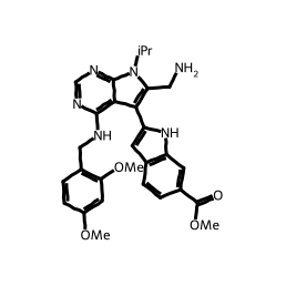 COC(=O)c1ccc2cc(-c3c(CN)n(C(C)C)c4ncnc(NCc5ccc(OC)cc5OC)c34)[nH]c2c1